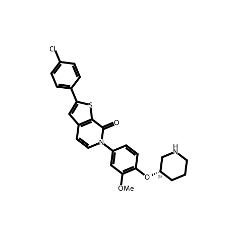 COc1cc(-n2ccc3cc(-c4ccc(Cl)cc4)sc3c2=O)ccc1O[C@H]1CCCNC1